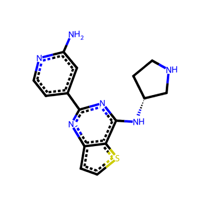 Nc1cc(-c2nc(N[C@@H]3CCNC3)c3sccc3n2)ccn1